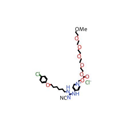 COCCOCCOCCOCCOCCOC(=O)OC[n+]1ccc(NC(=NC#N)NCCCCCCOc2ccc(Cl)cc2)cc1.[Cl-]